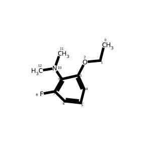 CCOc1c[c]cc(F)c1N(C)C